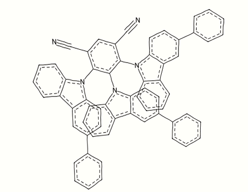 N#Cc1cc(C#N)c(-n2c3ccccc3c3cc(-c4ccccc4)ccc32)c(-n2c3ccccc3c3cc(-c4ccccc4)ccc32)c1-n1c2ccccc2c2cc(-c3ccccc3)ccc21